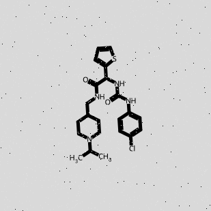 CC(C)N1CCC(CNC(=O)C(NC(=O)Nc2ccc(Cl)cc2)c2cccs2)CC1